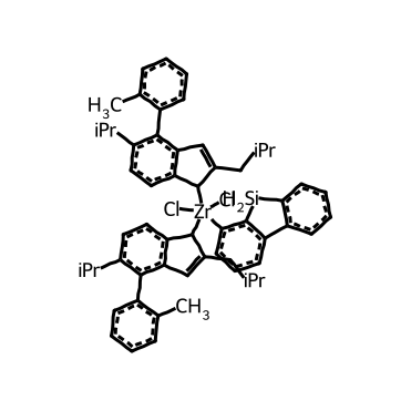 Cc1ccccc1-c1c(C(C)C)ccc2c1C=C(CC(C)C)[CH]2[Zr]([Cl])([Cl])([c]1cccc2c1[SiH2]c1ccccc1-2)[CH]1C(CC(C)C)=Cc2c1ccc(C(C)C)c2-c1ccccc1C